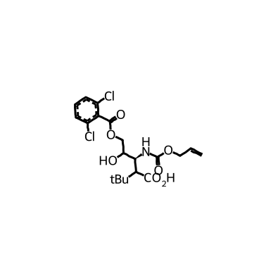 C=CCOC(=O)N[C@H](C(O)COC(=O)c1c(Cl)cccc1Cl)C(C(=O)O)C(C)(C)C